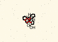 O=C(O)[C@@H]1CCCN1C(=O)N(c1ccccc1)[C@H]1C[C@H]2CCC[C@@H](C1)N2[C@H]1C[C@@H]2CCC[C@@H](C2)C1